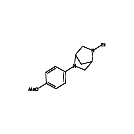 CCN1CC2CC1CN2c1ccc(OC)cc1